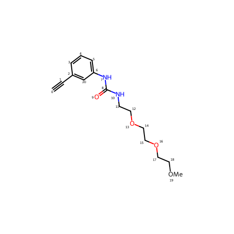 C#Cc1cccc(NC(=O)NCCOCCOCCOC)c1